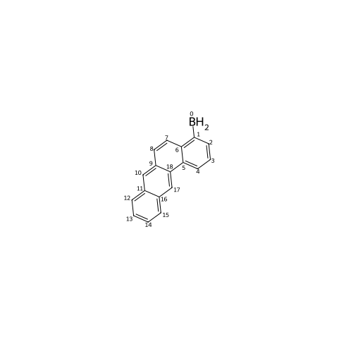 Bc1cccc2c1ccc1cc3ccccc3cc12